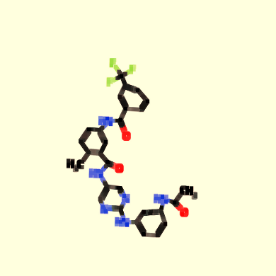 CC(=O)Nc1cccc(Nc2ncc(NC(=O)c3cc(NC(=O)c4cccc(C(F)(F)F)c4)ccc3C)cn2)c1